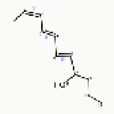 C\C=C/C=C/C=C/C(O)CCC